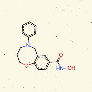 O=C(NO)c1ccc2c(c1)CN(c1ccccc1)CCCO2